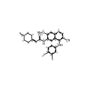 COc1cc2ncc(C#N)c(Nc3ccc(F)c(C)c3)c2cc1NC(=O)C=C1CCN(C)CC1